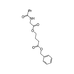 CC(C)C(=O)NCC(=O)OCCCC(=O)OCc1ccccc1